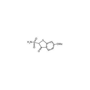 COc1ccc2c(c1)SC(S(N)(=O)=O)C2=O